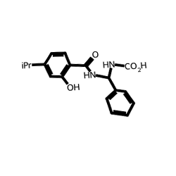 CC(C)c1ccc(C(=O)NC(NC(=O)O)c2ccccc2)c(O)c1